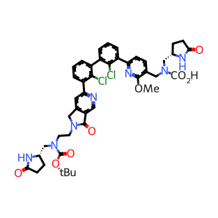 COc1nc(-c2cccc(-c3cccc(-c4cc5c(cn4)C(=O)N(CCN(C[C@@H]4CCC(=O)N4)C(=O)OC(C)(C)C)C5)c3Cl)c2Cl)ccc1CN(C[C@@H]1CCC(=O)N1)C(=O)O